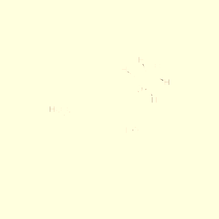 O=C(O)CCC/C=C\C[C@H]1[C@@H](/C=C/C(O)CC2CCCC2)[C@@H]2O[C@H]1[C@@H]1O[C@@H]12